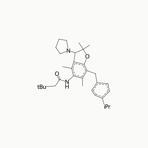 Cc1c(Cc2ccc(C(C)C)cc2)c2c(c(C)c1NC(=O)CC(C)(C)C)C(N1CCCC1)C(C)(C)O2